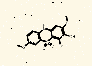 COc1ccc2c(c1)S(=O)(=O)c1c(cc(OC)c(O)c1Br)N2